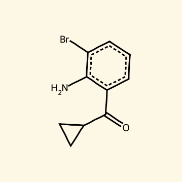 Nc1c(Br)cccc1C(=O)C1CC1